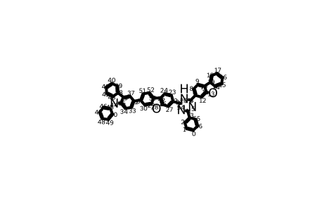 c1ccc(C2=NC(c3ccc4c(c3)oc3ccccc34)NC(c3ccc4c(c3)oc3cc(-c5ccc6c(c5)c5ccccc5n6-c5ccccc5)ccc34)=N2)cc1